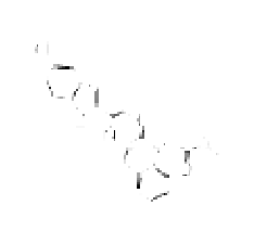 COC(=O)CN1C(=O)[C@@H](NC(=O)c2cc3cc(Cl)ccc3[nH]2)Cc2ccccc21